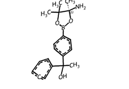 CC(O)(c1ccccc1)c1ccc(B2OC(C)(C)[C@@](C)(N)O2)cc1